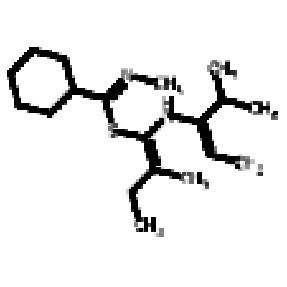 C/C=C(/N/C(S/C(=N\C)C1CCCCC1)=C(\C)CC)C(C)C